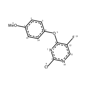 COc1ccc(Oc2nc(Cl)ncc2F)cc1